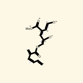 C=C/C=C\C(=C)C(=O)O\C=C(Cl)/C=C(\C=C\Cl)C(=O)OC